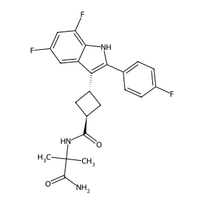 CC(C)(NC(=O)[C@H]1C[C@H](c2c(-c3ccc(F)cc3)[nH]c3c(F)cc(F)cc32)C1)C(N)=O